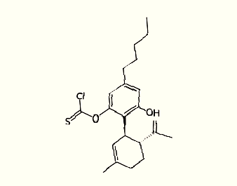 C=C(C)[C@@H]1CCC(C)=C[C@H]1c1c(O)cc(CCCCC)cc1OC(=S)Cl